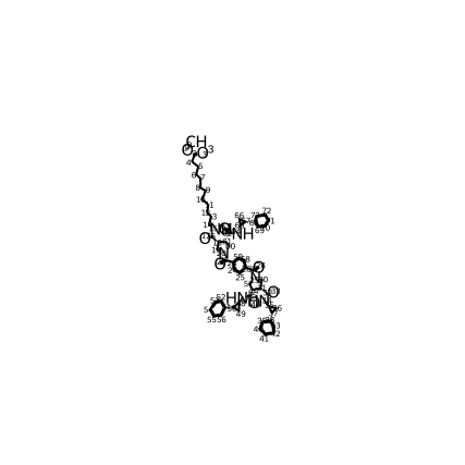 COC(=O)CCCCCCCCCCCNC(=O)[C@@H]1CN(C(=O)c2ccc(C(=O)N3C[C@@H](C(=O)N[C@H]4C[C@@H]4c4ccccc4)[C@H](C(=O)N[C@H]4C[C@@H]4c4ccccc4)C3)cc2)C[C@H]1C(=O)N[C@H]1C[C@@H]1c1ccccc1